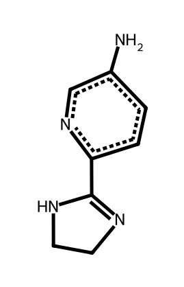 Nc1ccc(C2=NCCN2)nc1